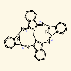 c1ccc2c(c1)C1=NC/2=N\c2c3ccccc3c3n2Cn2/c(c4ccccc4/c2=N/C2=NC(=N\3)/c3ccccc32)=N\1